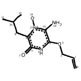 C=CCOc1[nH]c(=O)c(CC(C)C)[n+]([O-])c1N